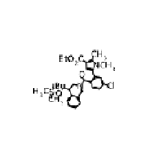 CCOC(=O)c1cc(-c2cc(Cl)ccc2C(=O)N2Cc3ccccc3C(CO[Si](C)(C)C(C)(C)C)C2)n(C)c1C